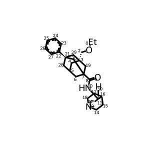 CCOC[C@@]12CC3CC(C(=O)N[C@H]4CN5CCC4CC5)(C1)C[C@](c1ccccc1)(C3)C2